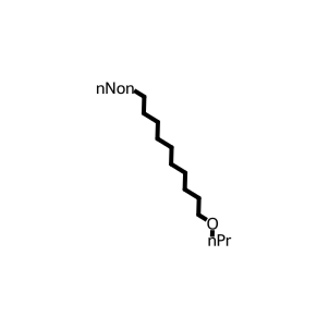 CCCCCCCCCCCCCCCCCCCOCCC